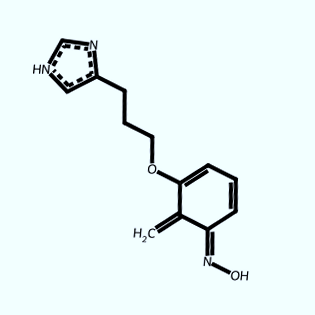 C=C1C(OCCCc2c[nH]cn2)=CC=CC1=NO